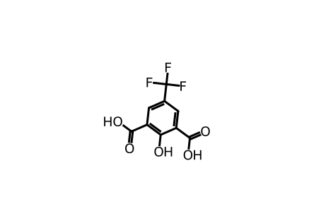 O=C(O)c1cc(C(F)(F)F)cc(C(=O)O)c1O